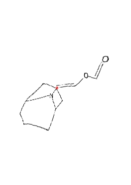 O=COC=CN1C2CCCC1CCC2